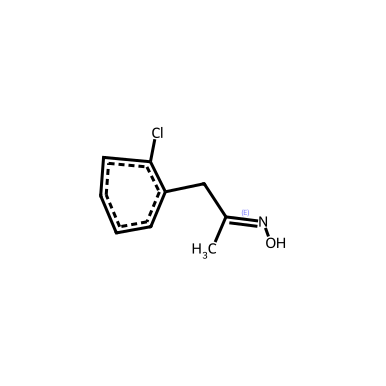 C/C(Cc1ccccc1Cl)=N\O